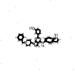 Oc1cccc(-c2nc(Nc3ccc4[nH]ccc4c3)c3cnn(C4CCN(Cc5ccccc5)CC4)c3n2)c1